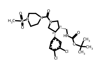 CC(C)(C)OC(=O)NC[C@H]1CN(C(=O)N2CCN(S(C)(=O)=O)CC2)C[C@H]1c1ccc(Cl)c(Cl)c1